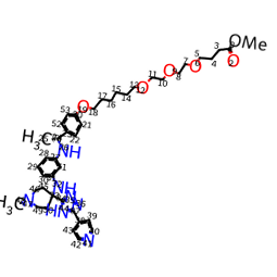 COC(=O)CCCOCCOCCOCCCCCCOc1ccc([C@@H](C)Nc2cccc(NC3(c4nnc(-c5ccncc5)[nH]4)CCN(C)CC3)c2)cc1